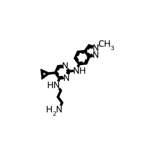 Cn1cc2ccc(Nc3ncc(C4CC4)c(NCCCN)n3)cc2n1